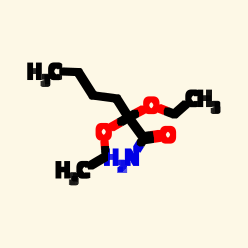 CCCCC(OCC)(OCC)C(N)=O